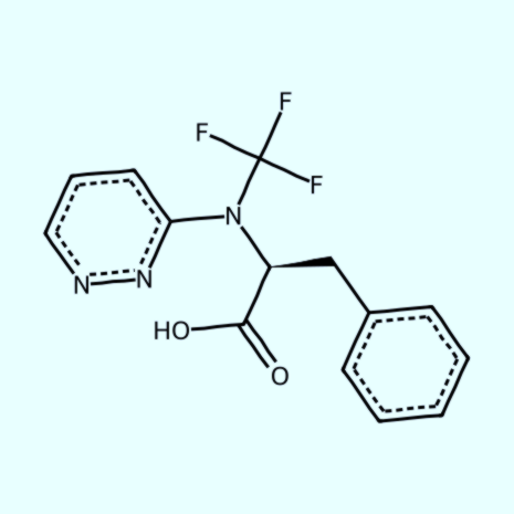 O=C(O)[C@H](Cc1ccccc1)N(c1cccnn1)C(F)(F)F